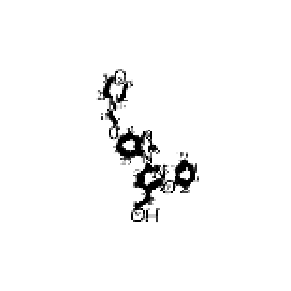 OCCc1ccc(-n2cnc3cc(OCCN4CCOCC4)ccc32)nc1Oc1ccccc1